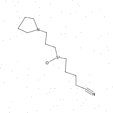 N#CCCCC[S+]([O-])CCCN1CCCC1